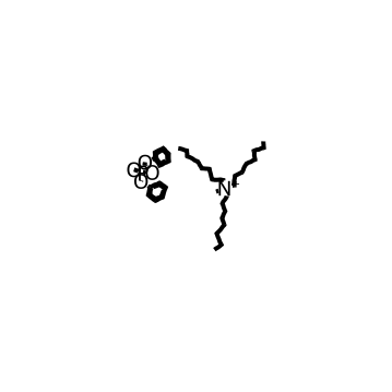 CCCCCCCC[N+](C)(CCCCCCCC)CCCCCCCC.O=P([O-])(Oc1ccccc1)Oc1ccccc1